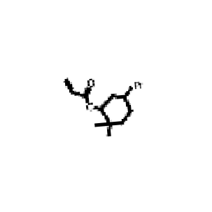 C=CC(=O)OC1CC(C(C)C)CCC1(C)C